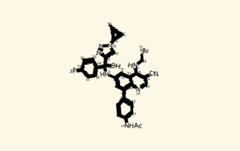 BC(Nc1cc(-c2ccc(NC(C)=O)cc2)c2ncc(C#N)c(NCC(C)(C)C)c2c1)(c1ccc(F)cc1)c1cn(C2CC2)nn1